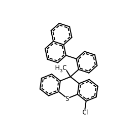 CC1(c2ccccc2-c2cccc3ccccc23)c2ccccc2Sc2c(Cl)cccc21